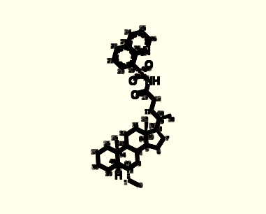 CC[C@H]1CC2C3CC[C@H]([C@H](C)CCC(=O)NS(=O)(=O)c4cccc5cccnc45)[C@@]3(C)CCC2[C@@]2(C)CCCC[C@@H]12